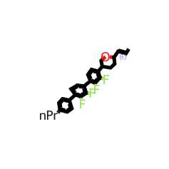 C/C=C/C1CCC(c2ccc(-c3ccc(-c4ccc(CCC)cc4)c(F)c3F)c(F)c2F)CO1